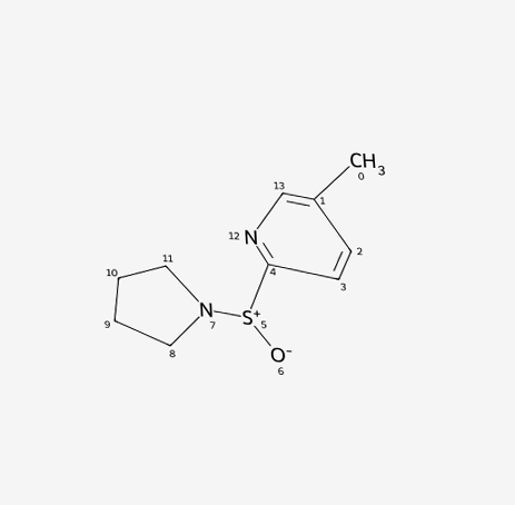 Cc1ccc([S+]([O-])N2CCCC2)nc1